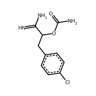 N=C(N)C(Cc1ccc(Cl)cc1)OC(N)=O